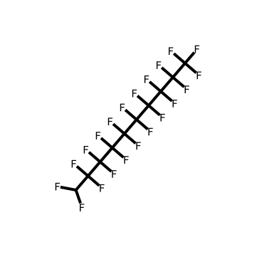 FC(F)C(F)(F)C(F)(F)C(F)(F)C(F)(F)C(F)(F)C(F)(F)C(F)(F)C(F)(F)C(F)(F)F